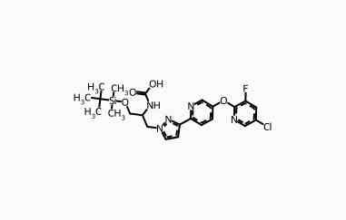 CC(C)(C)[Si](C)(C)OCC(Cn1ccc(-c2ccc(Oc3ncc(Cl)cc3F)cn2)n1)NC(=O)O